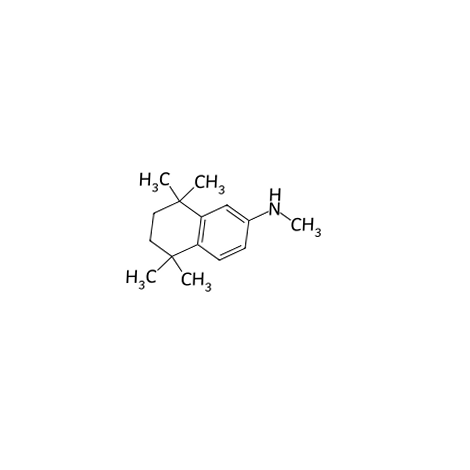 CNc1ccc2c(c1)C(C)(C)CCC2(C)C